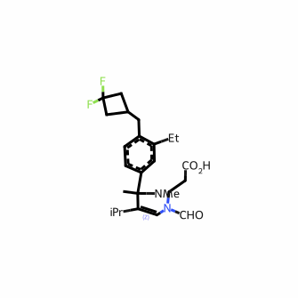 CCc1cc(C(C)(NC)/C(=C\N(C=O)CCC(=O)O)C(C)C)ccc1CC1CC(F)(F)C1